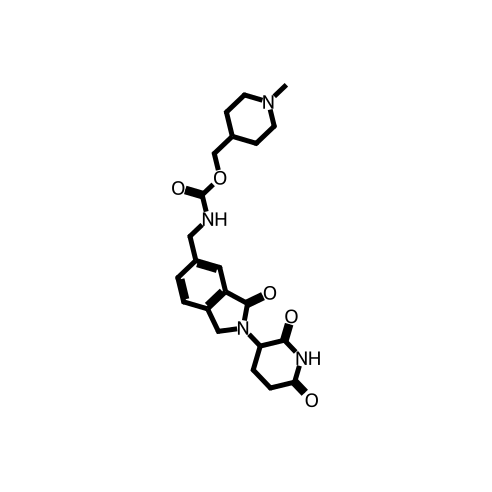 CN1CCC(COC(=O)NCc2ccc3c(c2)C(=O)N(C2CCC(=O)NC2=O)C3)CC1